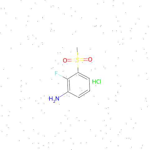 CS(=O)(=O)c1cccc(N)c1F.Cl